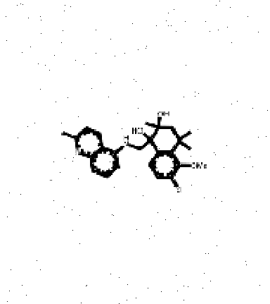 COc1c(Cl)ccc2c1C(C)(C)CC(C)(O)C2(O)CNc1cccc2nc(C)ccc12